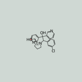 OC[C@@H]1CCCN1C(c1cccc(Cl)c1)C(O)(c1cccnc1)c1cccnc1